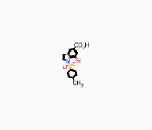 Cc1ccc(S(=O)(=O)n2ccc3cc(C(=O)O)cc(Br)c32)cc1